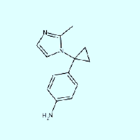 Cc1nccn1C1(c2ccc(N)cc2)CC1